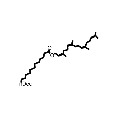 CCCCCCCCCCCCCCCCCCCCCC(=O)OCC=C(C)CCC=C(C)CCC=C(C)CCC=C(C)C